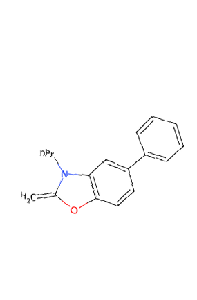 C=C1Oc2ccc(-c3ccccc3)cc2N1CCC